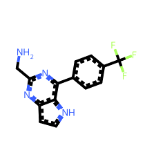 NCc1nc(-c2ccc(C(F)(F)F)cc2)c2[nH]ccc2n1